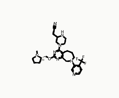 CN1CCC[C@H]1COc1nc2c(c(N3CCNC(CC#N)C3)n1)CCCN(c1cnccc1C(F)(F)F)C2